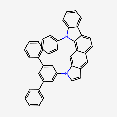 c1ccc(-c2cc(-c3ccccc3)cc(-n3ccc4cc5ccc6c7ccccc7n(-c7ccccc7)c6c5cc43)c2)cc1